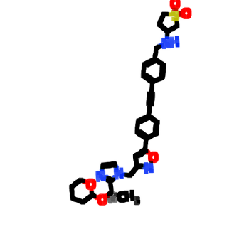 C[C@H](OC1CCCCO1)c1nccn1Cc1cc(-c2ccc(C#Cc3ccc(CNC4CCS(=O)(=O)C4)cc3)cc2)on1